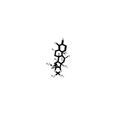 COC(=S)[C@@]12OC(C)(C)O[C@@H]1C[C@H]1[C@@H]3C[C@H](F)C4=C(Cl)C(=O)C=C[C@]4(C)[C@@]3(Cl)[C@@H](Cl)C[C@@]12C